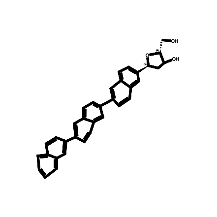 OC[C@H]1O[C@H](c2ccc3cc(-c4ccc5cc(-c6ccc7ccccc7c6)ccc5c4)ccc3c2)CC1O